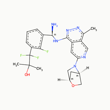 Cc1nnc(N[C@H](N)c2cccc(C(F)(F)C(C)(C)O)c2F)c2cc(N3C[C@H]4C[C@@H]3CO4)ncc12